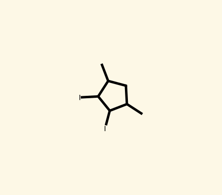 CC1CC(C)C(I)C1I